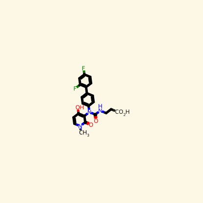 Cn1ccc(O)c(N(C(=O)NCCC(=O)O)c2ccc(-c3ccc(F)cc3F)cc2)c1=O